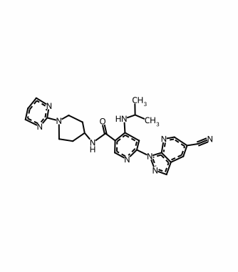 CC(C)Nc1cc(-n2ncc3cc(C#N)cnc32)ncc1C(=O)NC1CCN(c2ncccn2)CC1